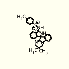 Cc1ccc(S(=O)(=O)NC(=O)NC2(c3ccccc3)C3=NCC(C)(C)CN3c3ccccc32)cc1